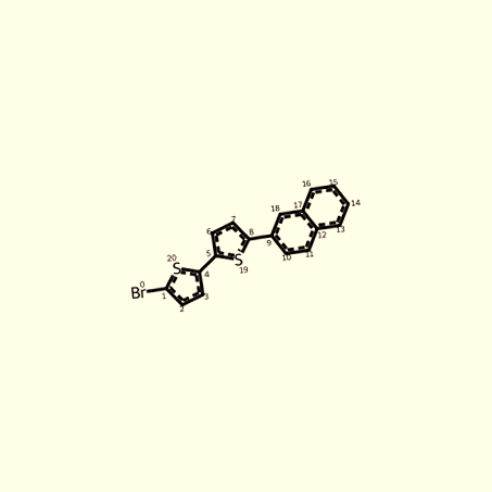 Brc1ccc(-c2ccc(-c3ccc4ccccc4c3)s2)s1